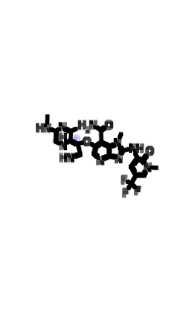 CNC1=CN/C(=C(\C=N)Oc2cnc3nc(Nc4cc(C(F)(F)F)cn(C)c4=O)n(C)c3c2C(N)=O)C(C)=N1